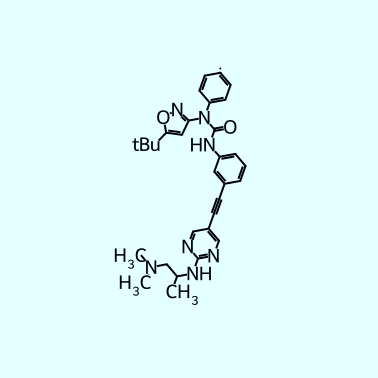 CC(CN(C)C)Nc1ncc(C#Cc2cccc(NC(=O)N(c3cc[c]cc3)c3cc(C(C)(C)C)on3)c2)cn1